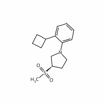 CS(=O)(=O)[C@@H]1CCN(c2cc[c]cc2C2CCC2)C1